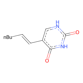 CCCC/C=C/c1c[nH]c(=O)[nH]c1=O